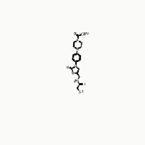 COC(=O)N1CCN(c2ccc(N3CC(CNC(=O)CS)OC3=O)cc2)CC1